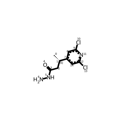 C[C@@H](CC(=O)NN)c1cc(Cl)nc(Cl)c1